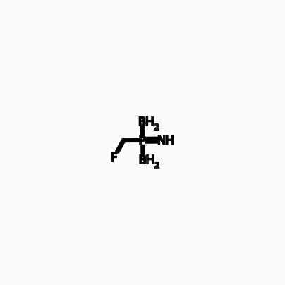 BP(B)(=N)CF